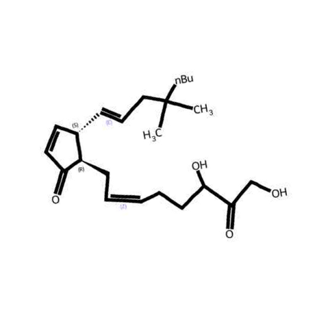 CCCCC(C)(C)C/C=C/[C@H]1C=CC(=O)[C@@H]1C/C=C\CCC(O)C(=O)CO